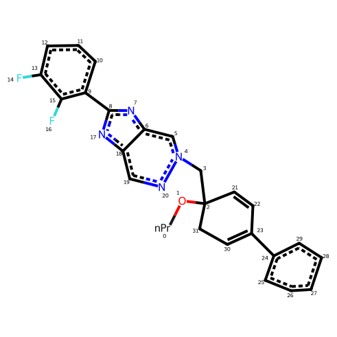 CCCOC1(Cn2cc3nc(-c4cccc(F)c4F)nc-3cn2)C=CC(c2ccccc2)=CC1